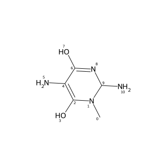 CN1C(O)=C(N)C(O)=NC1N